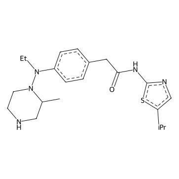 CCN(c1ccc(CC(=O)Nc2ncc(C(C)C)s2)cc1)N1CCNCC1C